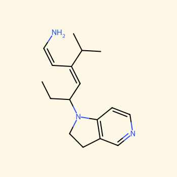 CCC(/C=C(\C=C/N)C(C)C)N1CCc2cnccc21